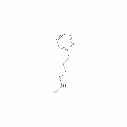 CC(C)NOCCCc1ccccn1